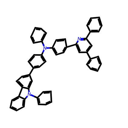 c1ccc(-c2cc(-c3ccccc3)nc(-c3ccc(N(c4ccccc4)c4ccc(-c5ccc6c7ccccc7n(-c7ccccc7)c6c5)cc4)cc3)c2)cc1